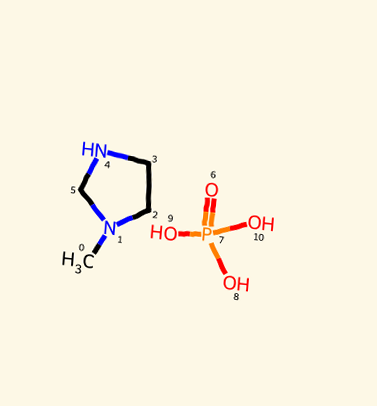 CN1CCNC1.O=P(O)(O)O